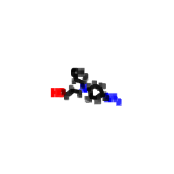 C=CCN(CC=CO)c1ccc(N)cc1